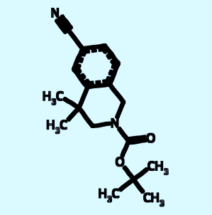 CC(C)(C)OC(=O)N1Cc2ccc(C#N)cc2C(C)(C)C1